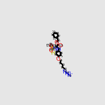 CCCC[C@@](Cc1ccc(OCCCCCN=[N+]=[N-])cc1)(N[SH](=O)=O)C(=O)OCc1ccccc1